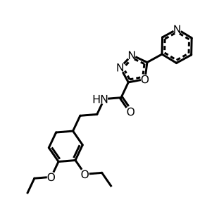 CCOC1=CCC(CCNC(=O)c2nnc(-c3cccnc3)o2)C=C1OCC